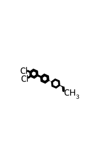 CC=C[C@H]1CC[C@H](c2ccc(-c3ccc(Cl)c(Cl)c3)cc2)CC1